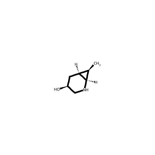 C[C@@H]1[C@@H]2C[C@H](O)CN[C@H]12